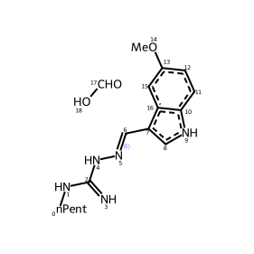 CCCCCNC(=N)N/N=C/c1c[nH]c2ccc(OC)cc12.O=CO